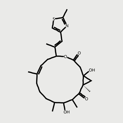 C/C1=C/CC(/C(C)=C/c2csc(C)n2)OC(=O)CC2(O)C[C@@]2(C)C(=O)C(C)C(O)C(C)CCC1